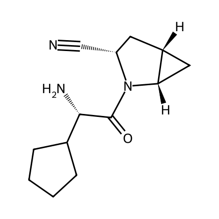 N#C[C@@H]1C[C@@H]2C[C@@H]2N1C(=O)[C@@H](N)C1CCCC1